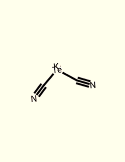 N#C[Te]C#N.[K]